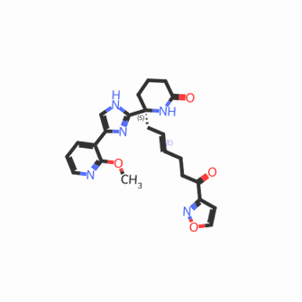 COc1ncccc1-c1c[nH]c([C@@]2(C/C=C/CCC(=O)c3ccon3)CCCC(=O)N2)n1